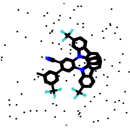 Cc1cc(-c2cc(-n3c4ccccc4c4ccc(C(F)(F)F)cc43)c(-n3c4ccccc4c4ccc(C(F)(F)F)cc43)cc2C#N)cc(C(F)(F)F)c1